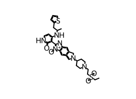 CCS(=O)(=O)CCN1CCC(N2C=c3cc4c(cc3C2)=NC(c2c(NC(C)Cc3cccs3)cc[nH]c2=O)=[N+]4[O-])CC1